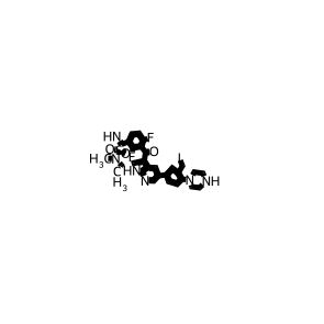 CCN(C)S(=O)(=O)C(=N)c1ccc(F)c(C(=O)c2c[nH]c3ncc(-c4ccc(N5CCNCC5)c(CI)c4)cc23)c1F